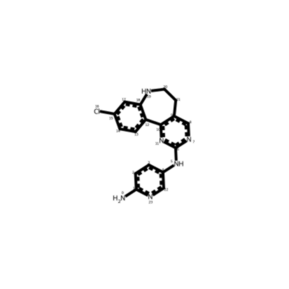 Nc1ccc(Nc2ncc3c(n2)-c2ccc(Cl)cc2NCC3)cn1